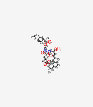 CC(C)Cc1ccc([C@@H](C)C(=O)OCCNC(=O)CCC(C)(C)C(=O)O[C@H]2C[C@@H](C)C=C3C=C[C@H](C)[C@H](CC[C@@H]4C[C@@H](O)CC(=O)O4)[C@H]32)cc1